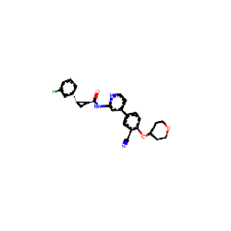 N#Cc1cc(-c2ccnc(NC(=O)[C@H]3C[C@@H]3c3cccc(F)c3)c2)ccc1OC1CCOCC1